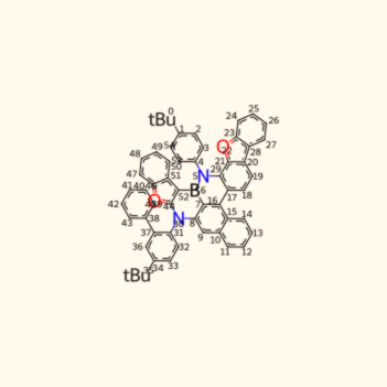 CC(C)(C)c1ccc(N2B3c4c(cc5ccccc5c4-c4ccc5c(oc6ccccc65)c42)N(c2ccc(C(C)(C)C)cc2-c2ccccc2)c2oc4ccccc4c23)cc1